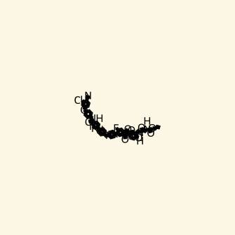 C=CCOC(=O)NCC(=O)NCN1C(=O)CCC(N2C(=O)c3cc(F)c(N4CCN(CC5CCN(c6ccc(C(=O)NC7CCC(Oc8ccc(C#N)c(Cl)c8)CC7)nn6)CC5)CC4)cc3C2=O)C1=O